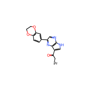 CC(C)CC(=O)c1c[nH]c2ncc(-c3ccc4c(c3)OCCO4)nc12